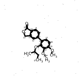 CC[C](C)Oc1c(-c2ccc3c(c2)COC3=O)ccc(OC)c1OC